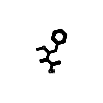 C=C(C(=O)O)C(Cc1ccccc1)OC